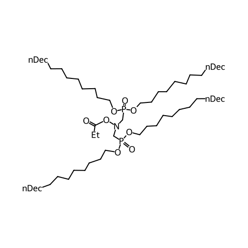 CCCCCCCCCCCCCCCCCCOP(=O)(CN(CP(=O)(OCCCCCCCCCCCCCCCCCC)OCCCCCCCCCCCCCCCCCC)OC(=O)CC)OCCCCCCCCCCCCCCCCCC